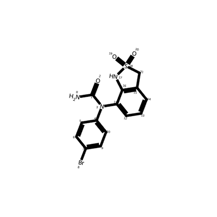 NC(=O)N(c1ccc(Br)cc1)c1cccc2c1NS(=O)(=O)C2